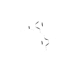 CCc1ccc(OCc2cc(C)ccc2NC(=S)OC)c(C)c1